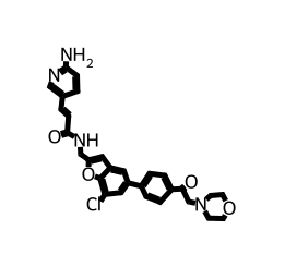 Nc1ccc(/C=C/C(=O)NCc2cc3cc(-c4ccc(C(=O)CN5CCOCC5)cc4)cc(Cl)c3o2)cn1